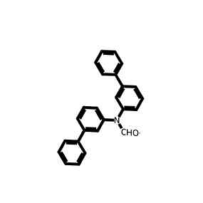 O=[C]N(c1cccc(-c2ccccc2)c1)c1cccc(-c2ccccc2)c1